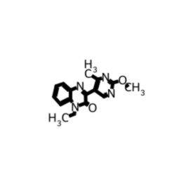 CCn1c(=O)c(-c2cnc(OC)nc2C)nc2ccccc21